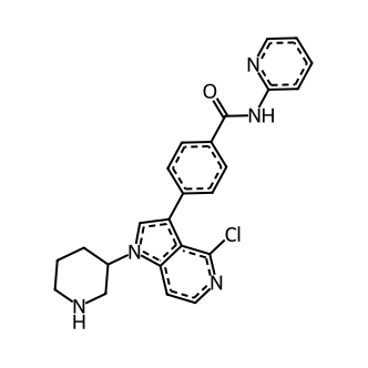 O=C(Nc1ccccn1)c1ccc(-c2cn(C3CCCNC3)c3ccnc(Cl)c23)cc1